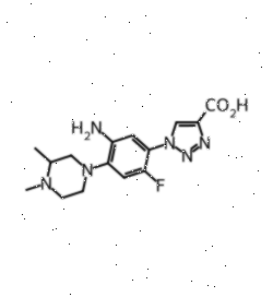 CC1CN(c2cc(F)c(-n3cc(C(=O)O)nn3)cc2N)CCN1C